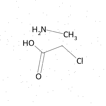 CN.O=C(O)CCl